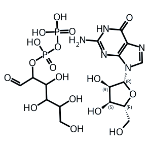 Nc1nc2c(ncn2[C@@H]2O[C@H](CO)[C@@H](O)[C@H]2O)c(=O)[nH]1.O=CC(OP(=O)(O)OP(=O)(O)O)C(O)C(O)C(O)CO